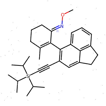 CO/N=C1\CCCC(C)=C1c1c(C#C[Si](C(C)C)(C(C)C)C(C)C)cc2c3c(cccc13)CC2